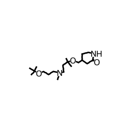 CN(CCCOC(C)(C)C)CCC(C)(C)OCC1CCNC(=O)C1